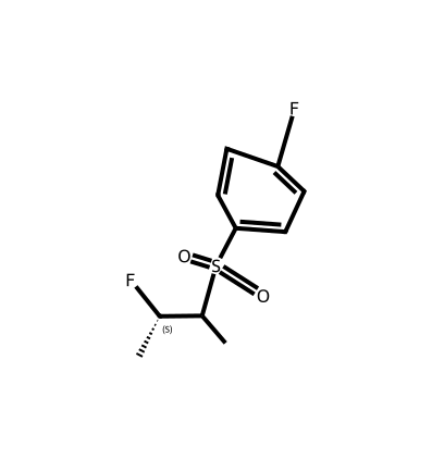 CC([C@H](C)F)S(=O)(=O)c1ccc(F)cc1